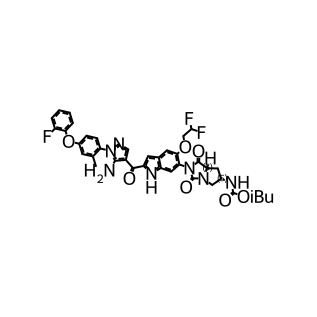 Cc1cc(Oc2ccccc2F)ccc1-n1ncc(C(=O)c2cc3cc(OCC(F)F)c(N4C(=O)[C@@H]5C[C@H](NC(=O)OCC(C)C)CN5C4=O)cc3[nH]2)c1N